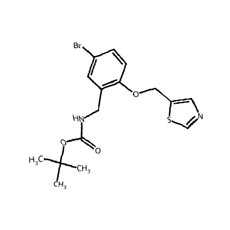 CC(C)(C)OC(=O)NCc1cc(Br)ccc1OCc1cncs1